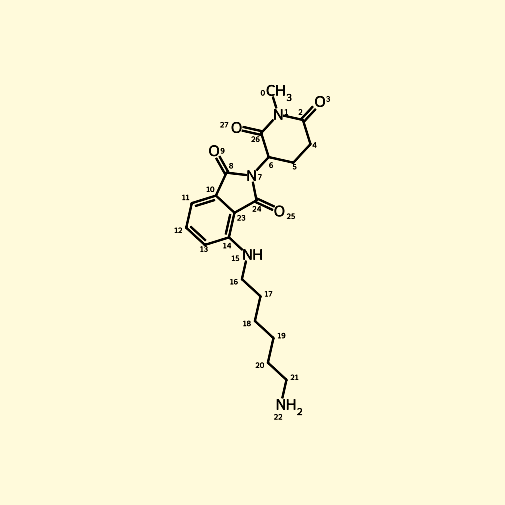 CN1C(=O)CCC(N2C(=O)c3cccc(NCCCCCCN)c3C2=O)C1=O